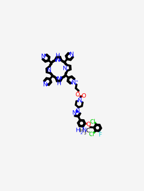 CC(Oc1cc(-c2cnn(C3CCN(C(=O)OCCC[n+]4ccc(-c5c6nc(c(-c7ccncc7)c7ccc([nH]7)c(-c7ccncc7)c7nc(c(-c8ccncc8)c8ccc5[nH]8)C=C7)C=C6)cc4)CC3)c2)ccc1N)c1c(Cl)ccc(F)c1Cl